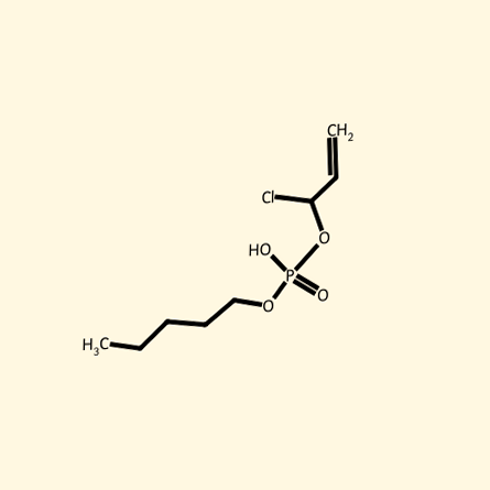 C=CC(Cl)OP(=O)(O)OCCCCC